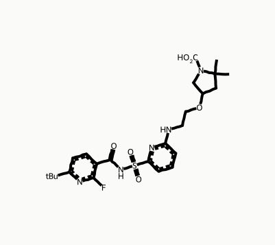 CC(C)(C)c1ccc(C(=O)NS(=O)(=O)c2cccc(NCCOC3CN(C(=O)O)C(C)(C)C3)n2)c(F)n1